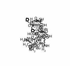 CC[C@H](C)[C@H](NC(=O)[C@H](CCCNC(=N)N)N1C(=O)C(N)CC1C)C(=O)N[C@H](C(=O)NC(CCC(N)=O)C(=O)N[C@@H](CS)C(=O)NC(CCCNC(=N)N)C(=O)NC(CO)C(=O)N[C@H](C(=O)NC(CCC(=O)O)C(=O)NCC(=O)NC(CO)C(=O)N[C@@H](CS)C(=O)NCC(=O)N[C@@H](Cc1ccccc1)C(=O)N[C@@H](Cc1ccc(O)cc1)C(=O)O)C(C)C)C(C)C